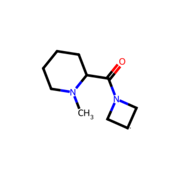 CN1CCCCC1C(=O)N1C[CH]C1